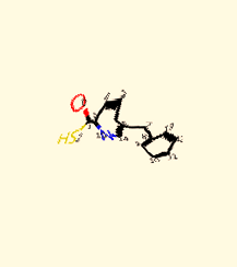 O=C(S)c1ccc(Cc2ccccc2)cn1